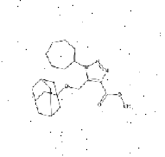 COC(=O)c1nnn(C2CCCCCC2)c1COC12CC3CC(CC(C3)C1)C2